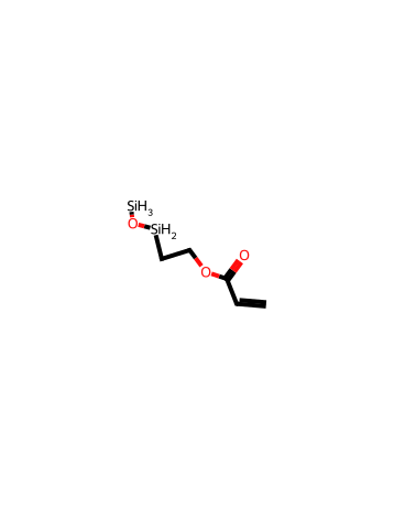 C=CC(=O)OCC[SiH2]O[SiH3]